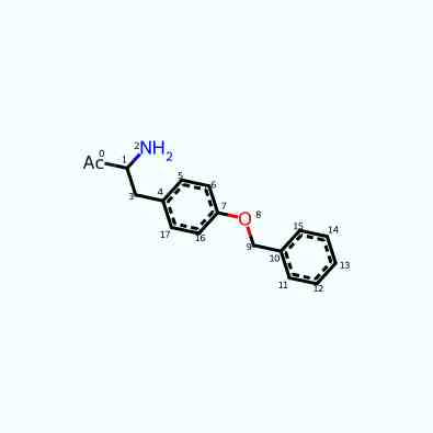 CC(=O)C(N)Cc1ccc(OCc2ccccc2)cc1